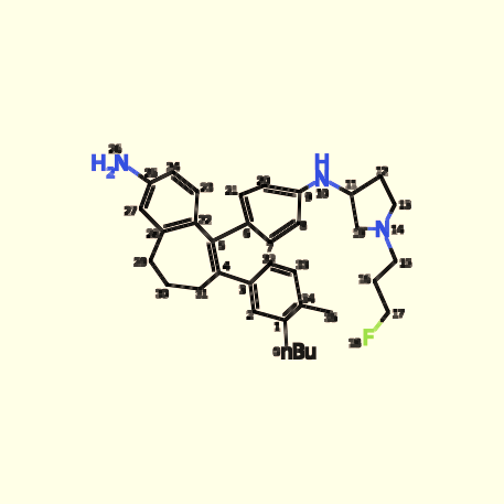 CCCCc1cc(C2=C(c3ccc(NC4CCN(CCCF)C4)cc3)c3ccc(N)cc3CCC2)ccc1C